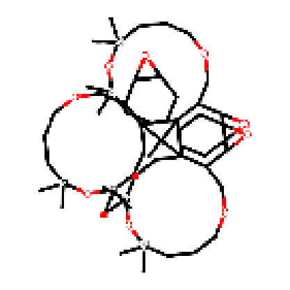 CCC(C12CCC3OC3C1COCCC[Si](C)(C)O[Si](C)(C)CC2)(C12CCC3OC3C1COCCC[Si](C)(C)O[Si](C)(C)CC2)C12CCC3OC3C1COCCC[Si](C)(C)O[Si](C)(C)CC2